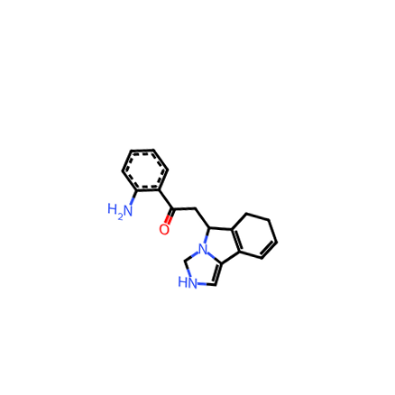 Nc1ccccc1C(=O)CC1C2=C(C=CCC2)C2=CNCN21